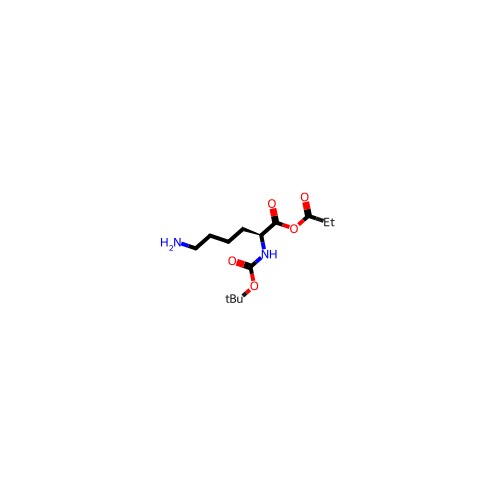 CCC(=O)OC(=O)[C@H](CCCCN)NC(=O)OC(C)(C)C